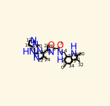 Cc1cc(CNC(=O)c2nc(-c3nc(Nc4ccnn4C)ncc3C)co2)c2[nH]c(C)c(C)c2c1